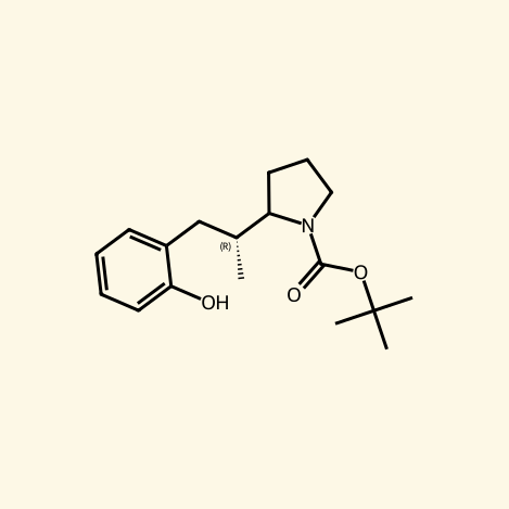 C[C@H](Cc1ccccc1O)C1CCCN1C(=O)OC(C)(C)C